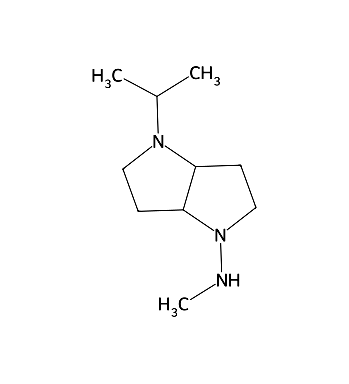 CNN1CCC2C1CCN2C(C)C